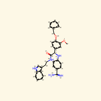 COc1cc([C@@H](Nc2ccc(C(=N)N)cc2)C(=O)NCCc2c[nH]c3ccccc23)ccc1OCc1ccccc1